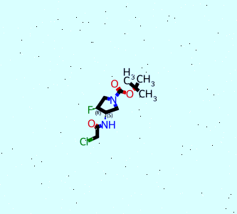 CC(C)(C)OC(=O)N1C[C@@H](F)[C@@H](NC(=O)CCl)C1